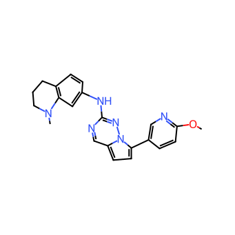 COc1ccc(-c2ccc3cnc(Nc4ccc5c(c4)N(C)CCC5)nn23)cn1